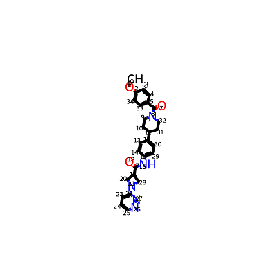 COc1ccc(C(=O)N2CCC(c3ccc(NC(=O)C4CN(c5cccnn5)C4)cc3)CC2)cc1